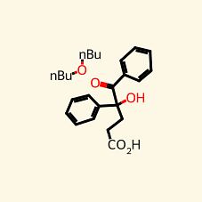 CCCCOCCCC.O=C(O)CCC(O)(C(=O)c1ccccc1)c1ccccc1